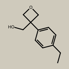 CCc1ccc(C2(CO)COC2)cc1